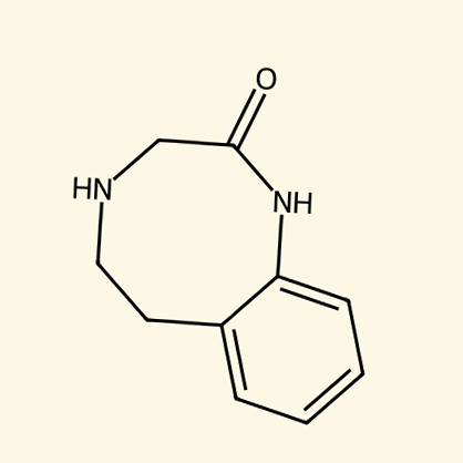 O=C1CNCCc2ccccc2N1